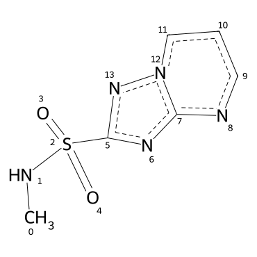 CNS(=O)(=O)c1nc2ncccn2n1